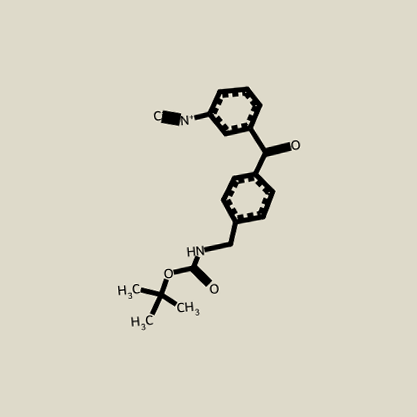 [C-]#[N+]c1cccc(C(=O)c2ccc(CNC(=O)OC(C)(C)C)cc2)c1